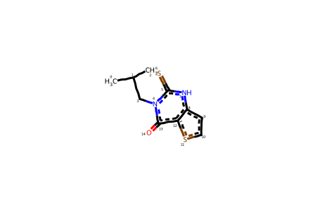 CC(C)Cn1c(=S)[nH]c2ccsc2c1=O